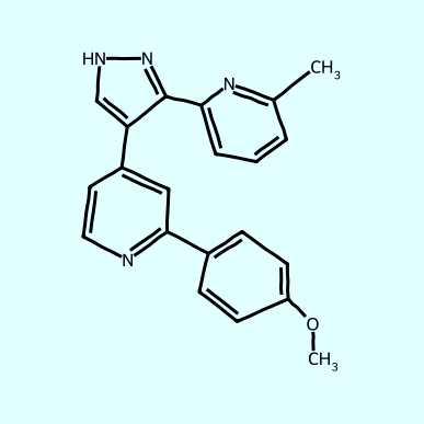 COc1ccc(-c2cc(-c3c[nH]nc3-c3cccc(C)n3)ccn2)cc1